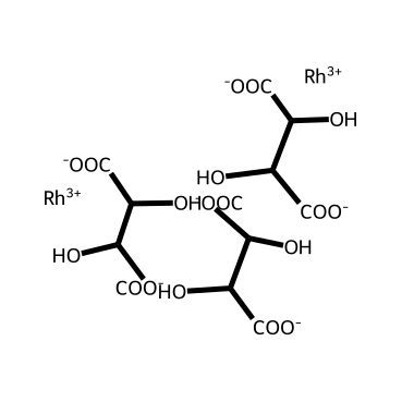 O=C([O-])C(O)C(O)C(=O)[O-].O=C([O-])C(O)C(O)C(=O)[O-].O=C([O-])C(O)C(O)C(=O)[O-].[Rh+3].[Rh+3]